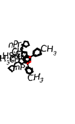 CCCC1(CC2=Cc3c(-c4ccc(C)cc4)cccc3[CH]2[Zr]([Cl])([Cl])([CH]2C(CC3(CCC)CCCC3)=Cc3c(-c4ccc(C)cc4)cccc32)[SiH](C)C)CCCC1